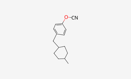 CC1CCC(Cc2ccc(OC#N)cc2)CC1